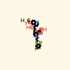 COc1ccc2nccc(C(O)CC[C@@H]3CCN(CCCSc4cc(F)ccc4F)C[C@@H]3CC(=O)O)c2c1